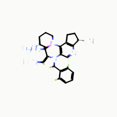 N#C[C@@H]1CCc2c1ncc(N1C(C(N)=O)=C(N)SC1c1c(F)cccc1F)c2N1CCC[C@H](N)C1